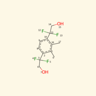 Cc1c(C(F)(F)CO)ccc(C(F)(F)CO)c1C